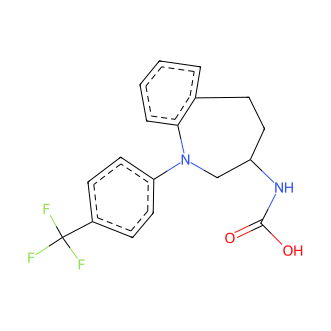 O=C(O)NC1CCc2ccccc2N(c2ccc(C(F)(F)F)cc2)C1